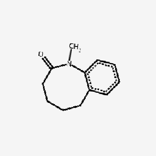 CN1C(=O)CCCCc2ccccc21